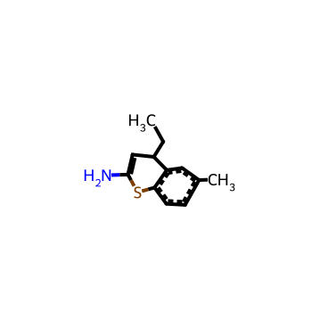 CCC1C=C(N)Sc2ccc(C)cc21